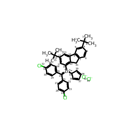 CC(C)(C)c1ccc2c(c1)-c1cc(C(C)(C)C)c[c]([Zr+2](=[C](c3ccc(Cl)cc3)c3ccc(Cl)cc3)[CH]3C=CC=C3)c1C2.[Cl-].[Cl-]